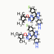 Cc1cc(C)cc(Oc2nccc(-c3c(-c4ccc(F)cc4)ncn3C3CCNCC3)n2)c1.Cc1ccc(C)c(Oc2nccc(-c3c(-c4ccc(F)cc4)ncn3C3CCNCC3)n2)c1